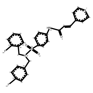 O=C(/C=C/c1ccncc1)Nc1ccc(S(=O)(=O)N(Cc2ccc(F)cc2)Cc2ccccc2F)cc1